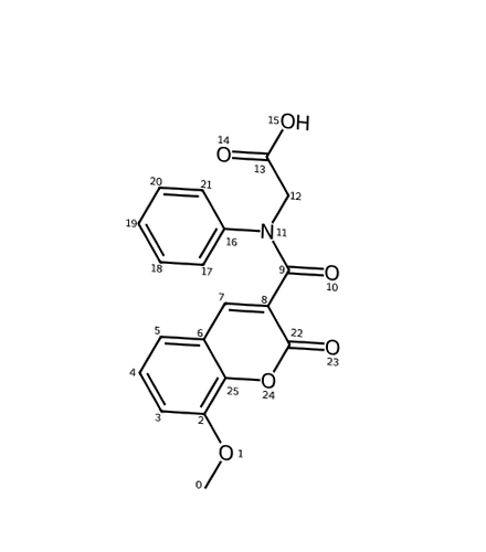 COc1cccc2cc(C(=O)N(CC(=O)O)c3ccccc3)c(=O)oc12